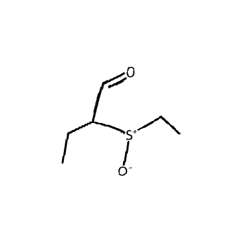 CCC(C=O)[S+]([O-])CC